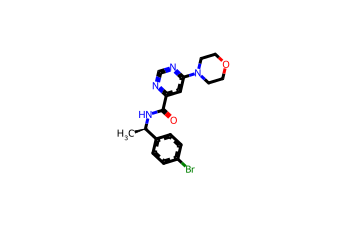 C[C@@H](NC(=O)c1cc(N2CCOCC2)ncn1)c1ccc(Br)cc1